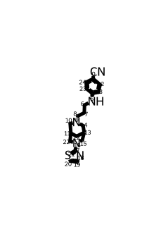 N#Cc1ccc(NCCCN2CC3CC(C2)CN(c2nccs2)C3)cc1